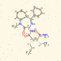 CN1C(=O)[C@@H](NC(=O)[C@@H](CCC(F)(F)F)[C@@H](CC(F)(F)F)C(N)=O)N=C(c2ccccc2)c2ccccc21